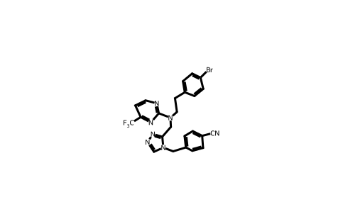 N#Cc1ccc(Cn2cnnc2CN(CCc2ccc(Br)cc2)c2nccc(C(F)(F)F)n2)cc1